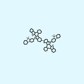 CC1(C)c2ccccc2-c2ccc(-n3c4ccc(-c5ccc6c(c5)c5c7ccccc7c7c8ccccc8sc7c5n6-c5ccc6c(c5)C(C)(C)c5ccccc5-6)cc4c4c5ccccc5c5c6ccccc6sc5c43)cc21